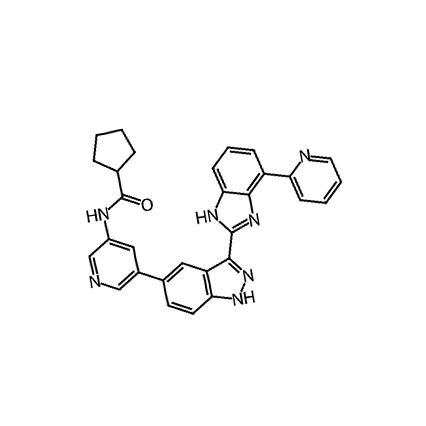 O=C(Nc1cncc(-c2ccc3[nH]nc(-c4nc5c(-c6ccccn6)cccc5[nH]4)c3c2)c1)C1CCCC1